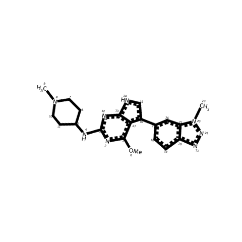 COc1nc(NC2CCN(C)CC2)nc2[nH]cc(-c3ccc4nnn(C)c4c3)c12